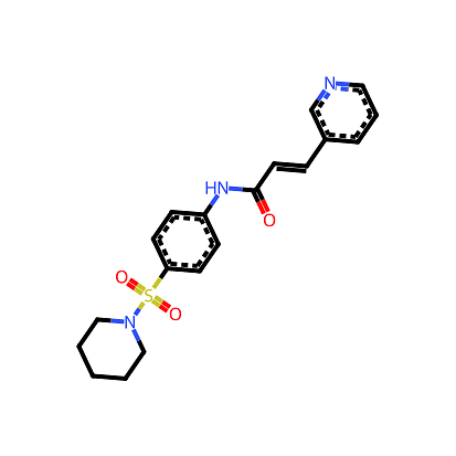 O=C(C=Cc1cccnc1)Nc1ccc(S(=O)(=O)N2CCCCC2)cc1